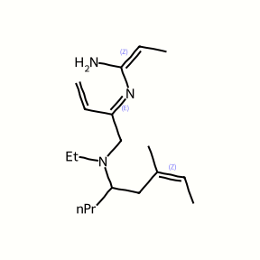 C=C/C(CN(CC)C(CCC)C/C(C)=C\C)=N\C(N)=C/C